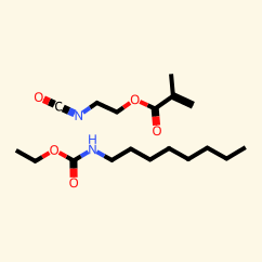 C=C(C)C(=O)OCCN=C=O.CCCCCCCCNC(=O)OCC